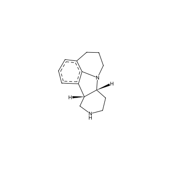 c1cc2c3c(c1)[C@H]1CNCC[C@H]1N3CCC2